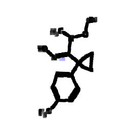 CN(OC(C)(C)C)/C(=N\O)C1(c2ccc(C(F)(F)F)cc2)CC1